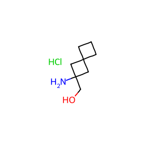 Cl.NC1(CO)CC2(CCC2)C1